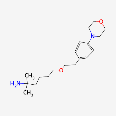 CC(C)(N)CCCCOCCc1ccc(N2CCOCC2)cc1